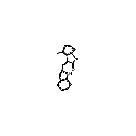 Cc1cccc2c1/C(=C/c1cc3ccccc3[nH]1)C(=O)N2